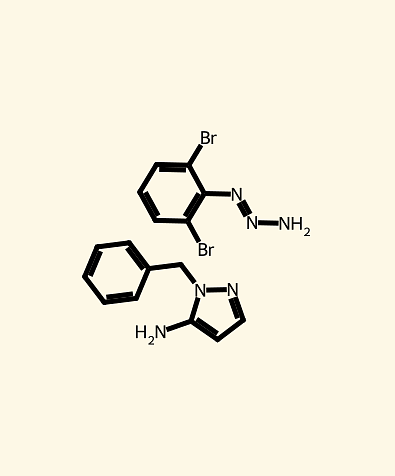 N/N=N/c1c(Br)cccc1Br.Nc1ccnn1Cc1ccccc1